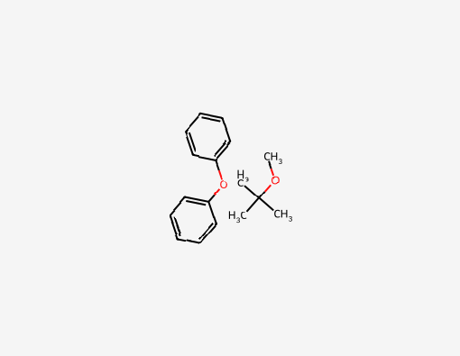 COC(C)(C)C.c1ccc(Oc2ccccc2)cc1